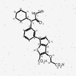 CC(C)NC(=O)N(c1cccc(-c2csc3c(OCC(=O)O)c(C(=O)O)sc23)c1)C1CCCCC1